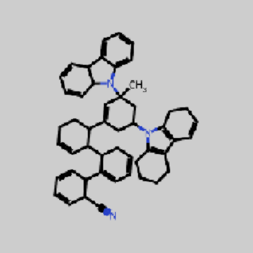 CC1(N2c3ccccc3C3C=CC=CC32)C=C(C2CCC=CC2C2CC=CC=C2C2C=CC=CC2C#N)CC(n2c3c(c4c2CCCC4)C=CCC3)C1